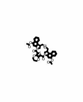 CC(=O)Oc1cc2c(c3ccccc13)C(CCl)CN2C(=O)c1sc(C(=O)N2CC(CCl)c3c2cc(OC(C)=O)c2ccccc32)c2c1OCCCO2